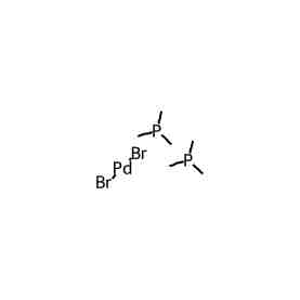 CP(C)C.CP(C)C.[Br][Pd][Br]